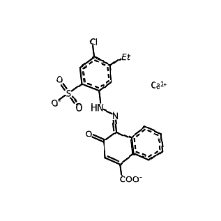 CCc1cc(N/N=C2\C(=O)C=C(C(=O)[O-])c3ccccc32)c(S(=O)(=O)[O-])cc1Cl.[Ca+2]